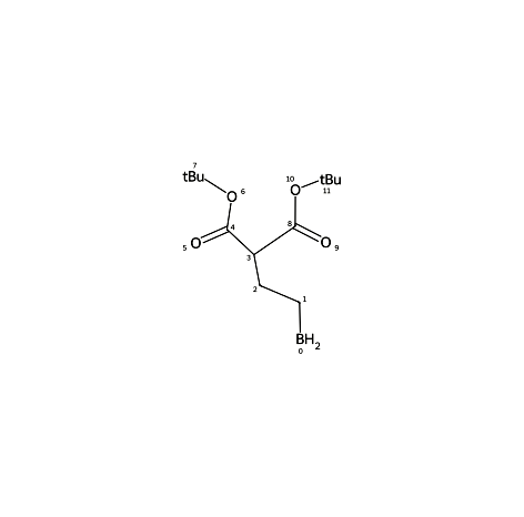 BCCC(C(=O)OC(C)(C)C)C(=O)OC(C)(C)C